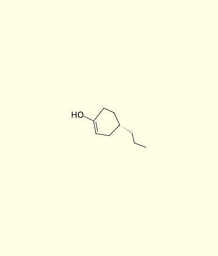 CCC[C@@H]1CC=C(O)CC1